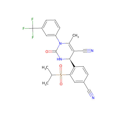 CC1=C(C#N)[C@@H](c2ccc(C#N)cc2S(=O)(=O)C(C)C)NC(=O)N1c1cccc(C(F)(F)F)c1